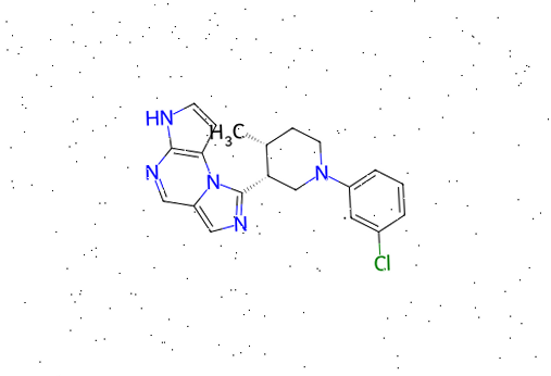 C[C@@H]1CCN(c2[c]c(Cl)ccc2)C[C@@H]1c1ncc2cnc3[nH]ccc3n12